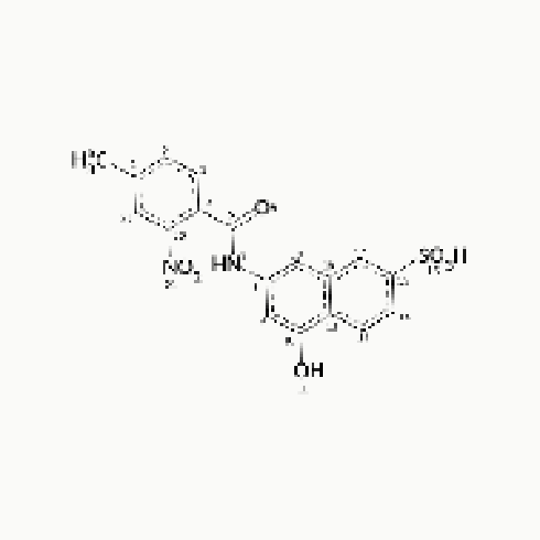 Cc1ccc(C(=O)Nc2cc(O)c3ccc(S(=O)(=O)O)cc3c2)c([N+](=O)[O-])c1